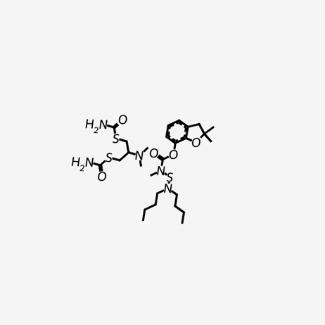 CCCCN(CCCC)SN(C)C(=O)Oc1cccc2c1OC(C)(C)C2.CN(C)C(CSC(N)=O)CSC(N)=O